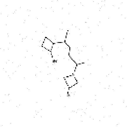 CC(C)C1CN(C(C)CCC(C)C2CCN2C(C)C)C1